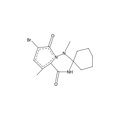 Cc1cc(Br)c(=O)n2c1C(=O)NC1(CCCCC1)N2C